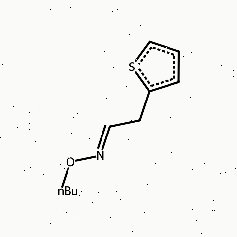 CCCCON=CCc1cccs1